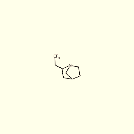 FC(F)(F)CC1CC2[CH]N1CC2